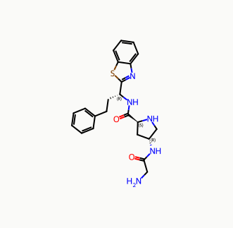 NCC(=O)N[C@H]1CN[C@H](C(=O)N[C@H](CCc2ccccc2)c2nc3ccccc3s2)C1